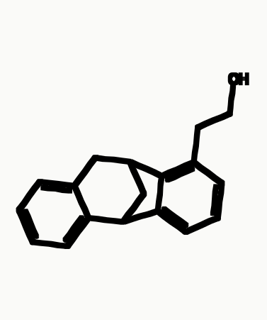 OCCc1cccc2c1C1Cc3ccccc3C2C1